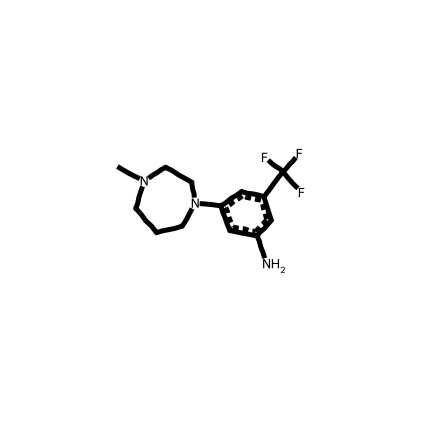 CN1CCCN(c2cc(N)cc(C(F)(F)F)c2)CC1